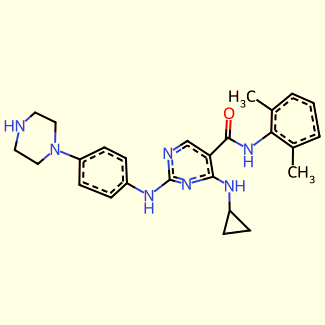 Cc1cccc(C)c1NC(=O)c1cnc(Nc2ccc(N3CCNCC3)cc2)nc1NC1CC1